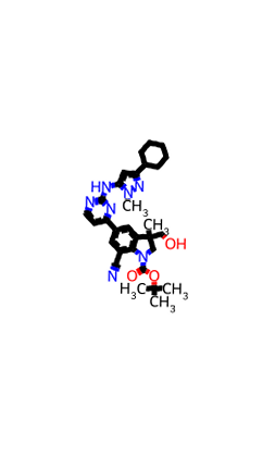 Cn1nc(C2CCCCC2)cc1Nc1nccc(-c2cc(C#N)c3c(c2)C(C)(CO)CN3C(=O)OC(C)(C)C)n1